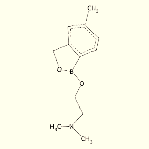 Cc1ccc2c(c1)COB2OCCN(C)C